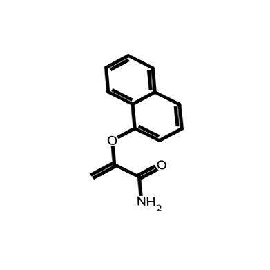 C=C(Oc1cccc2ccccc12)C(N)=O